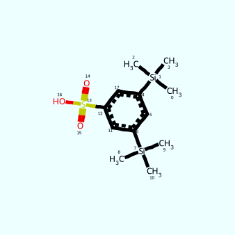 C[Si](C)(C)c1cc([Si](C)(C)C)cc(S(=O)(=O)O)c1